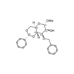 CO[C@H]1O[C@@H]2CO[C@@H](c3ccccc3)O[C@H]2[C@H](OCc2ccccc2)[C@@H]1O